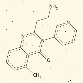 Cc1cccc2nc(CCN)n(-c3cccnc3)c(=O)c12